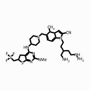 CNc1nc(NC2CCN(CC3=CC=C4C(C=C(C#N)N4CCC(CN)CCNP)C3C)CC2)c2c(n1)SC(CS(F)(F)F)C2